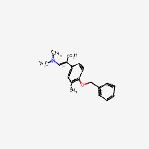 Cc1cc(/C(=C/N(C)C)C(=O)O)ccc1OCc1ccccc1